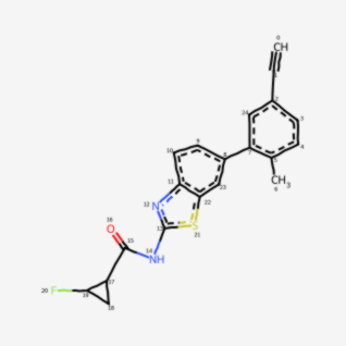 C#Cc1ccc(C)c(-c2ccc3nc(NC(=O)C4CC4F)sc3c2)c1